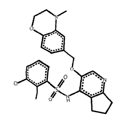 Cc1c(Cl)cccc1S(=O)(=O)Nc1c(OCc2ccc3c(c2)N(C)CCO3)cnc2c1CCC2